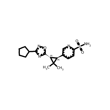 CC1(C)[C@H](c2ccc(S(N)(=O)=O)nc2)[C@H]1c1nc(C2CCCC2)no1